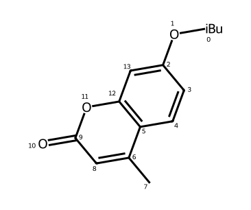 CCC(C)Oc1ccc2c(C)cc(=O)oc2c1